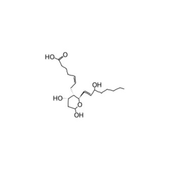 CCCCCC(O)/C=C/[C@H]1OC(O)C[C@H](O)[C@@H]1C/C=C\CCCC(=O)O